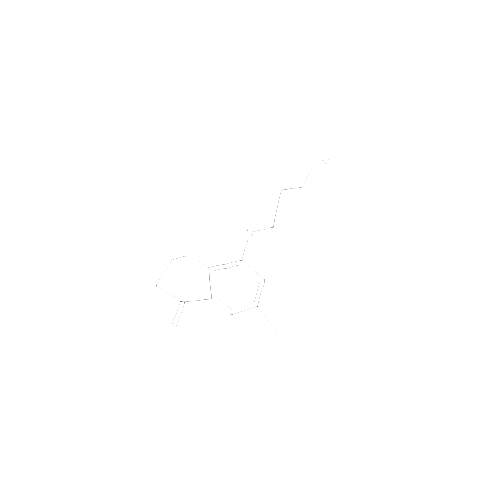 COCCCNc1cc(C)cc2c1OCCC2=O